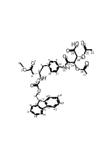 COC(=O)C[C@H](Cc1ccc(NC(=O)[C@H](OC(C)=O)[C@@H](OC(C)=O)C(=O)O)cc1)NC(=O)OCC1c2ccccc2-c2ccccc21